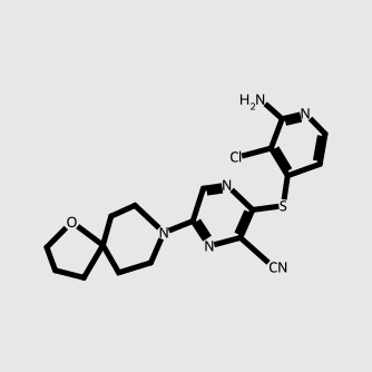 N#Cc1nc(N2CCC3(CCCO3)CC2)cnc1Sc1ccnc(N)c1Cl